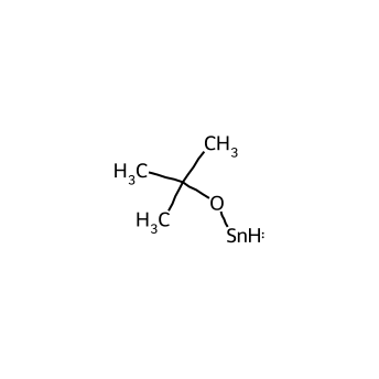 CC(C)(C)[O][SnH]